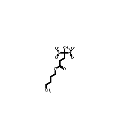 CCCCCOC(=O)CCC(C)([N+](=O)[O-])[N+](=O)[O-]